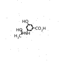 CB(O)Nc1cc(O)cc(C(=O)O)c1